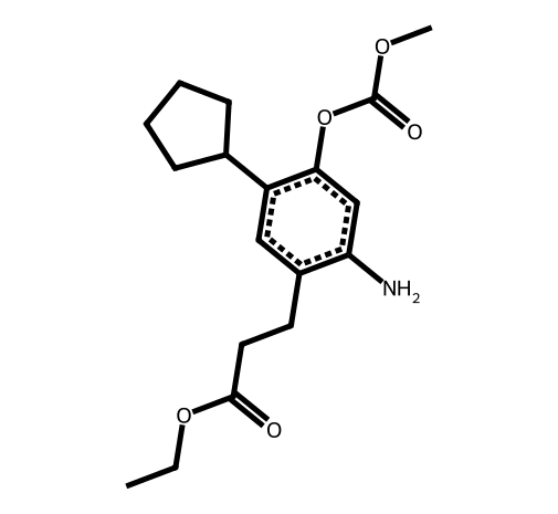 CCOC(=O)CCc1cc(C2CCCC2)c(OC(=O)OC)cc1N